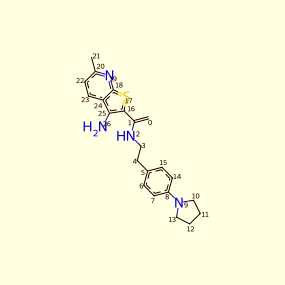 C=C(NCCc1ccc(N2CCCC2)cc1)c1sc2nc(C)ccc2c1N